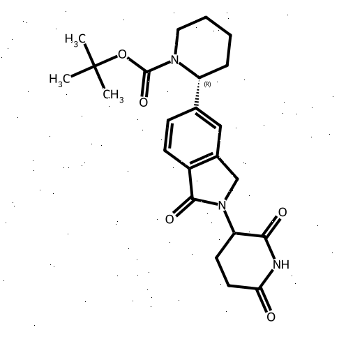 CC(C)(C)OC(=O)N1CCCC[C@@H]1c1ccc2c(c1)CN(C1CCC(=O)NC1=O)C2=O